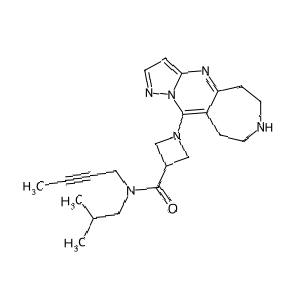 CC#CCN(CC(C)C)C(=O)C1CN(c2c3c(nc4ccnn24)CCNCC3)C1